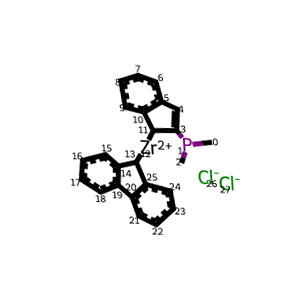 CP(C)C1=Cc2ccccc2[CH]1[Zr+2][CH]1c2ccccc2-c2ccccc21.[Cl-].[Cl-]